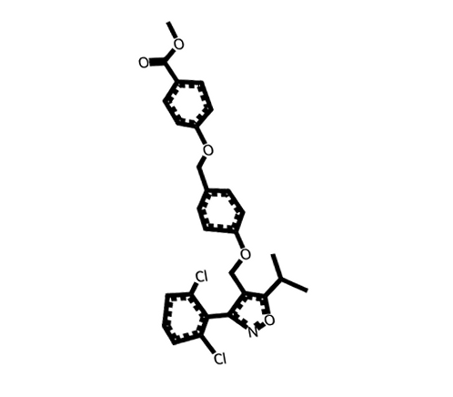 COC(=O)c1ccc(OCc2ccc(OCc3c(-c4c(Cl)cccc4Cl)noc3C(C)C)cc2)cc1